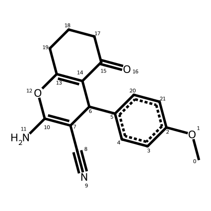 COc1ccc(C2C(C#N)=C(N)OC3=C2C(=O)CCC3)cc1